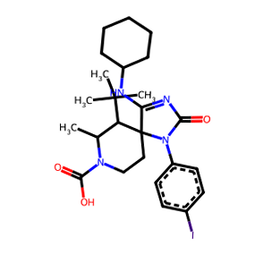 CC1C(C(C)(C)C)C2(CCN1C(=O)O)C(NC1CCCCC1)=NC(=O)N2c1ccc(I)cc1